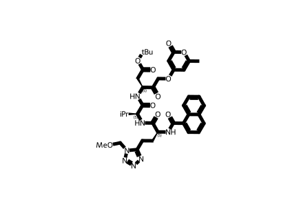 COCn1nnnc1CC[C@H](NC(=O)c1cccc2ccccc12)C(=O)N[C@H](C(=O)N[C@@H](CC(=O)OC(C)(C)C)C(=O)COc1cc(C)oc(=O)c1)C(C)C